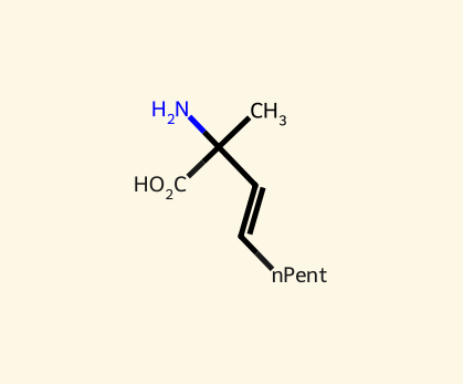 CCCCCC=CC(C)(N)C(=O)O